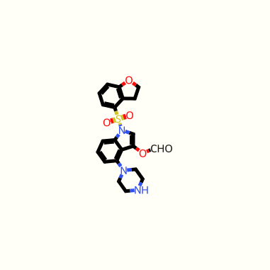 O=COc1cn(S(=O)(=O)c2cccc3c2CCO3)c2cccc(N3CCNCC3)c12